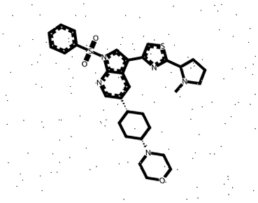 CN1CCCC1c1nc(-c2cn(S(=O)(=O)c3ccccc3)c3ncc([C@H]4CC[C@@H](N5CCOCC5)CC4)cc23)cs1